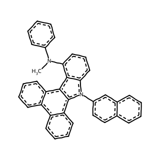 CN(c1ccccc1)c1cccc2c1c1c3ccccc3c3ccccc3c1n2-c1ccc2ccccc2c1